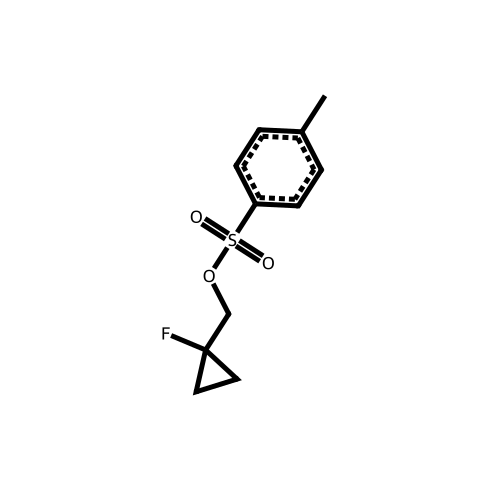 Cc1ccc(S(=O)(=O)OCC2(F)CC2)cc1